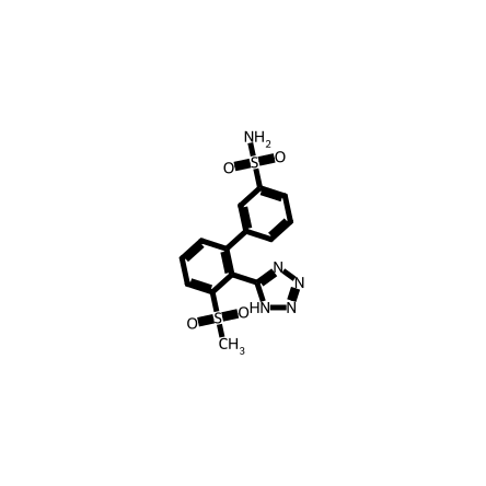 CS(=O)(=O)c1cccc(-c2cccc(S(N)(=O)=O)c2)c1-c1nnn[nH]1